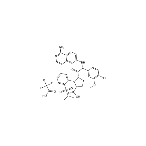 COc1cc([C@@H](Nc2ccc3c(N)nccc3c2)C(=O)N2CCC(C(=O)O)C2c2ccccc2S(=O)(=O)C(C)C)ccc1Cl.O=C(O)C(F)(F)F